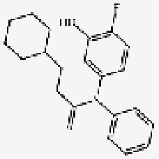 C=C(CCC1CCCCC1)N(c1ccccc1)c1ccc(F)c(O)c1